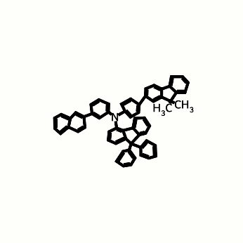 CC1(C)c2ccccc2-c2ccc(-c3ccc(N(c4cccc(-c5ccc6ccccc6c5)c4)c4cccc5c4-c4ccccc4C5(c4ccccc4)c4ccccc4)cc3)cc21